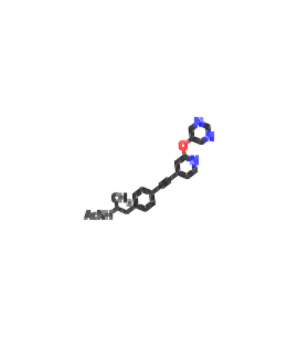 CC(=O)NC(C)Cc1ccc(C#Cc2ccnc(Oc3cncnc3)c2)cc1